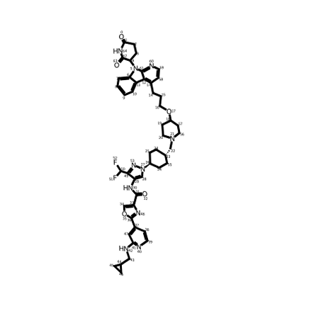 O=C1CCC(n2c3ccccc3c3c(CCCOC4CCN(C[C@H]5CC[C@H](n6cc(NC(=O)c7coc(-c8ccnc(NCC9CC9)c8)n7)c(C(F)F)n6)CC5)CC4)ccnc32)C(=O)N1